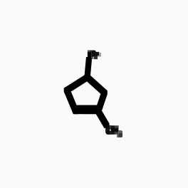 C[C](C)C1CC=C(C)C1